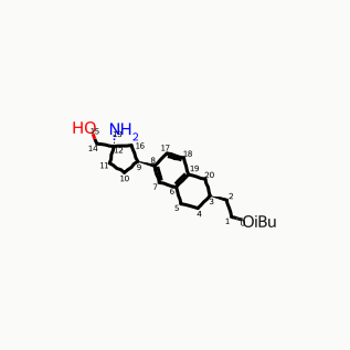 CC(C)COCC[C@H]1CCc2cc([C@H]3CC[C@@](N)(CO)C3)ccc2C1